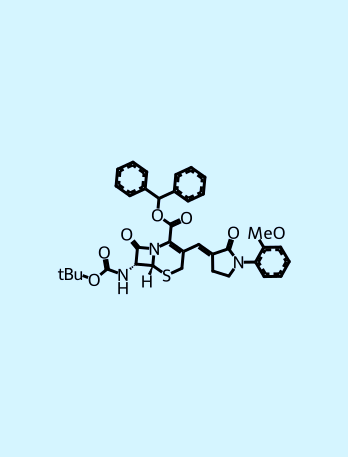 COc1ccccc1N1CCC(=CC2=C(C(=O)OC(c3ccccc3)c3ccccc3)N3C(=O)[C@@H](NC(=O)OC(C)(C)C)[C@H]3SC2)C1=O